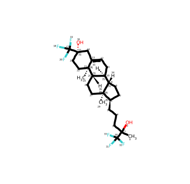 CC(O)(CCC[C@@H]1CC[C@H]2[C@@H]3CC=C4C[C@](O)(C(F)(F)F)CC[C@]4(C)[C@H]3CC[C@]12C)C(F)(F)F